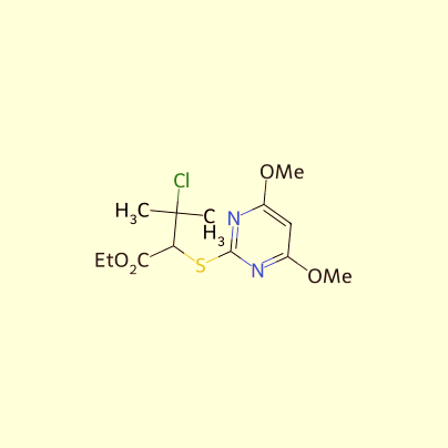 CCOC(=O)C(Sc1nc(OC)cc(OC)n1)C(C)(C)Cl